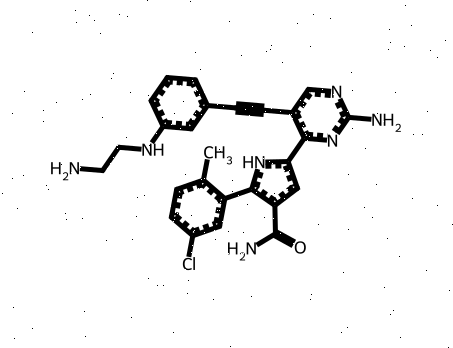 Cc1ccc(Cl)cc1-c1[nH]c(-c2nc(N)ncc2C#Cc2cccc(NCCN)c2)cc1C(N)=O